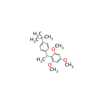 [CH2]C(c1ccc(C(C)(C)C)cc1)c1c(OC)cc(OC)cc1OC